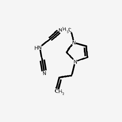 C=CCN1C=CN(C)C1.N#CNC#N